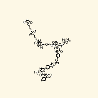 CC(CNC(=O)OCc1ccc(NC(=O)[C@@H](CCCNC(N)=O)NC(=O)[C@H](NC(=O)OCCOCCNS(=O)(=O)NC(=O)OCCCNC(=O)CCCCCN2C(=O)C=CC2=O)C(C)C)cc1)Oc1ccc(-c2cnc(N)c(C(=O)Nc3cnccc3N3CCOCC3)n2)cc1